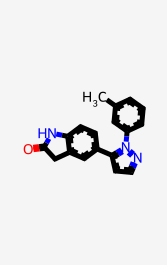 Cc1cccc(-n2nccc2-c2ccc3c(c2)CC(=O)N3)c1